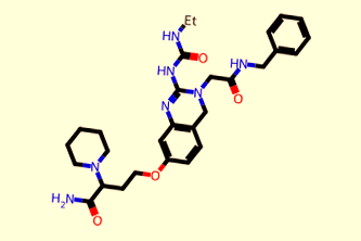 CCNC(=O)NC1=Nc2cc(OCCC(C(N)=O)N3CCCCC3)ccc2CN1CC(=O)NCc1ccccc1